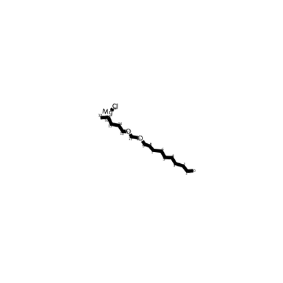 CCCCCCCCCCOCOCCC[CH](C)[Mg][Cl]